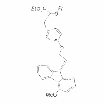 CCOC(=O)C(Cc1ccc(OC/C=C2\c3ccccc3-c3c(OC)cccc32)cc1)OCC